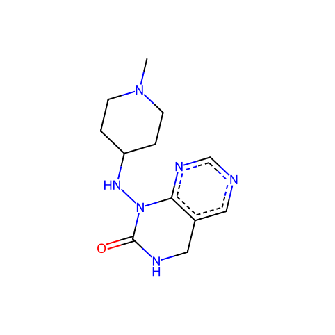 CN1CCC(NN2C(=O)NCc3cncnc32)CC1